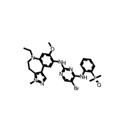 CCN1CCc2c(cnn2C)-c2cc(Nc3ncc(Br)c(Nc4ccccc4P(C)(C)=O)n3)c(OC)cc21